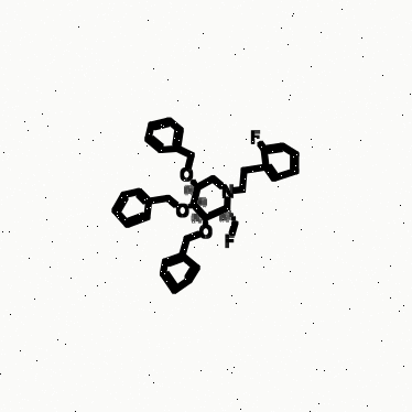 FC[C@@H]1[C@@H](OCc2ccccc2)[C@H](OCc2ccccc2)[C@@H](OCc2ccccc2)CN1CCc1ccccc1F